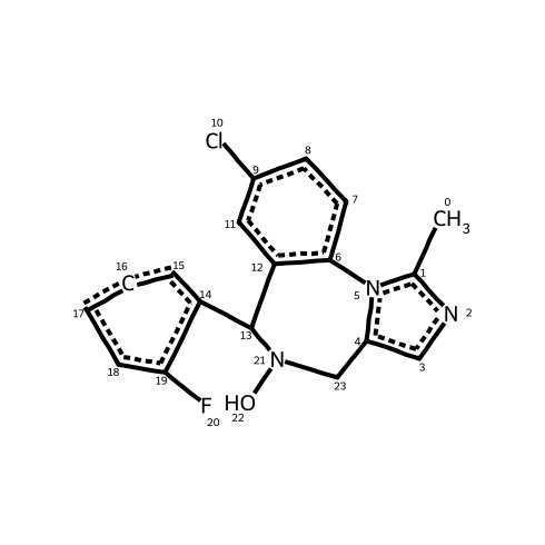 Cc1ncc2n1-c1ccc(Cl)cc1C(c1ccccc1F)N(O)C2